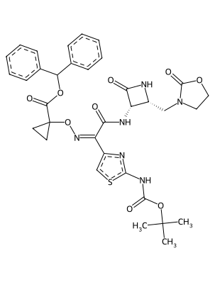 CC(C)(C)OC(=O)Nc1nc(/C(=N/OC2(C(=O)OC(c3ccccc3)c3ccccc3)CC2)C(=O)N[C@@H]2C(=O)N[C@@H]2CN2CCOC2=O)cs1